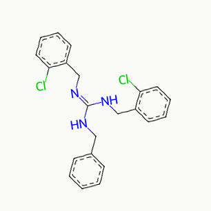 Clc1ccccc1C/N=C(/NCc1ccccc1)NCc1ccccc1Cl